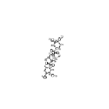 COc1ccc(S(=O)(=O)N2C[C@H](C)N(S(=O)(=O)c3ccc(OC)c(OC)c3)C[C@@H]2C)cc1OC